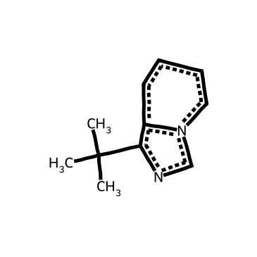 CC(C)(C)c1ncn2ccccc12